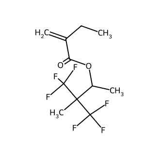 C=C(CC)C(=O)OC(C)C(C)(C(F)(F)F)C(F)(F)F